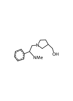 CNC(CN1CCC(CO)C1)c1ccccc1